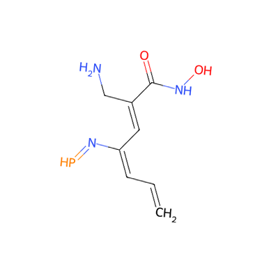 C=C/C=C(\C=C(/CN)C(=O)NO)N=P